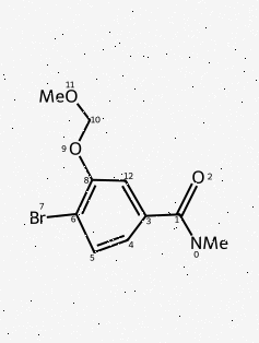 CNC(=O)c1ccc(Br)c(OCOC)c1